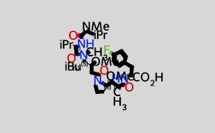 CC[C@H](C)[C@@H](C(CC(=O)N1CCC[C@H]1[C@H](OC)[C@@H](C)C(=O)NC(Cc1ccc(F)cc1)C(=O)O)OC)N(C)C(=O)[C@@H](NC(=O)C(NC)C(C)C)C(C)C